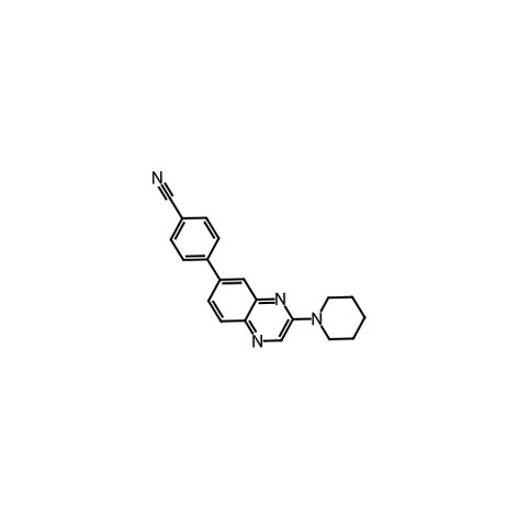 N#Cc1ccc(-c2ccc3ncc(N4CCCCC4)nc3c2)cc1